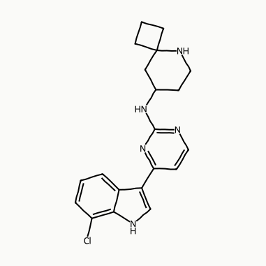 Clc1cccc2c(-c3ccnc(NC4CCNC5(CCC5)C4)n3)c[nH]c12